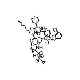 C=CCCCCC[C@H](NC(=O)[C@@H](NC(=O)c1cnccn1)C1CCCCC1)C(=O)N1C[C@H](OC(=O)N2Cc3cccc(Cl)c3C2)C[C@H]1C(=O)N[C@]1(C(=O)NS(=O)(=O)C2CC2)C[C@H]1C